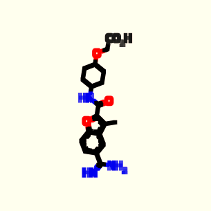 Cc1c(C(=O)NC2CCC(OCC(=O)O)CC2)oc2ccc(C(=N)N)cc12